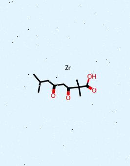 CC(C)CC(=O)CC(=O)C(C)(C)C(=O)O.[Zr]